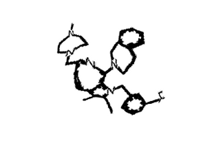 Cc1c(C)n(Cc2cccc(F)c2)c2c(N3CCc4ccccc4C3)nc(CN3CCN(C)CC3)cc12